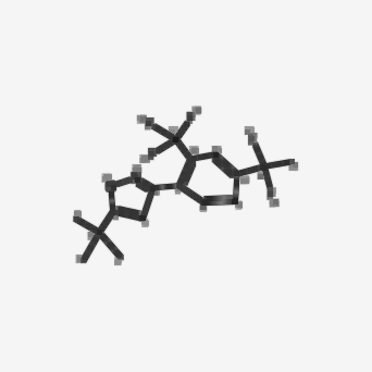 CC(C)(C)c1cc(-c2ccc(C(C)(F)F)cc2C(F)(F)F)no1